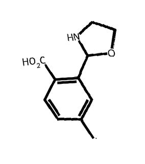 [CH2]c1ccc(C(=O)O)c(C2NCCO2)c1